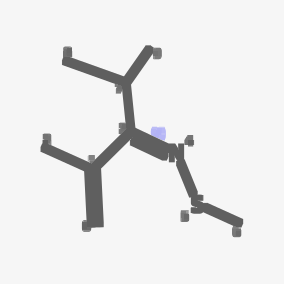 C=C(C)/C(=N\SC)C(C)C